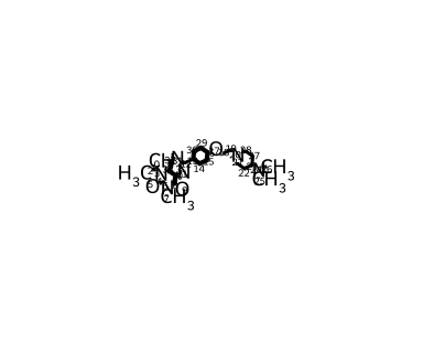 CC(C)n1c(=O)n(C)c(=O)c2nc(-c3ccc(OCCN4CCC(N(C)C)CC4)cc3)ncc21